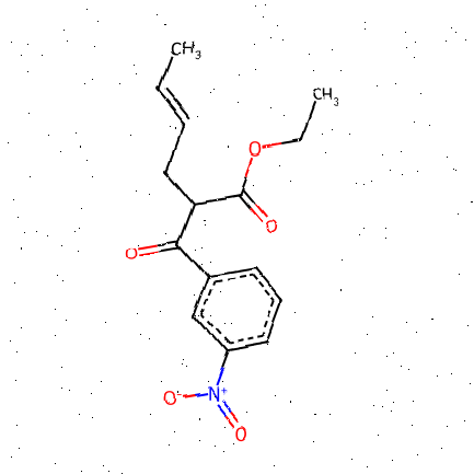 CC=CCC(C(=O)OCC)C(=O)c1cccc([N+](=O)[O-])c1